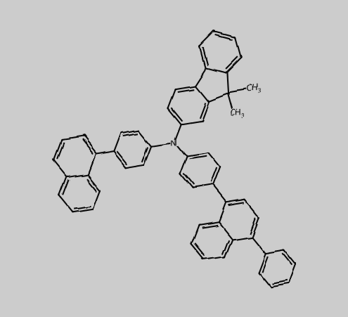 CC1(C)c2ccccc2-c2ccc(N(c3ccc(-c4cccc5ccccc45)cc3)c3ccc(-c4ccc(-c5ccccc5)c5ccccc45)cc3)cc21